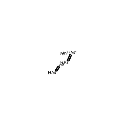 [As-]=[AsH].[As-]=[AsH].[Mn+2]